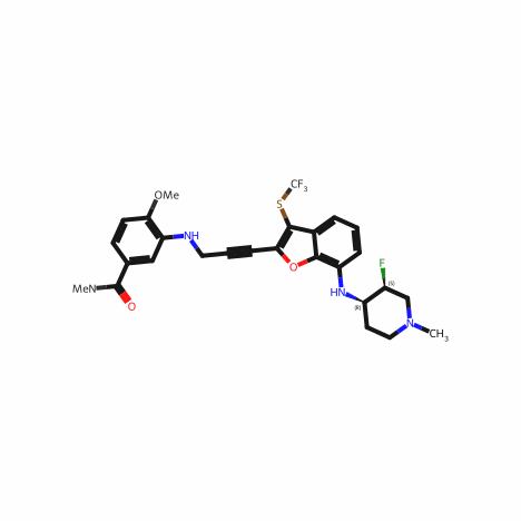 CNC(=O)c1ccc(OC)c(NCC#Cc2oc3c(N[C@@H]4CCN(C)C[C@@H]4F)cccc3c2SC(F)(F)F)c1